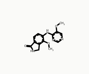 COc1cncnc1Nc1ccc2c(c1OC)CNC2=O